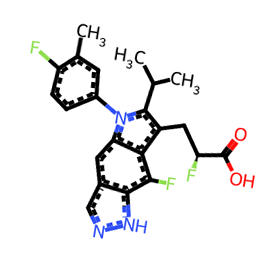 Cc1cc(-n2c(C(C)C)c(C[C@H](F)C(=O)O)c3c(F)c4[nH]ncc4cc32)ccc1F